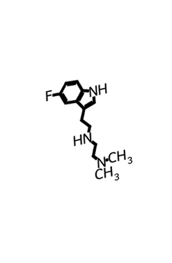 CN(C)CCNCCc1c[nH]c2ccc(F)cc12